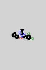 CCc1nc(N[C@@H]2c3ccccc3C[C@@H]2O)c(C2CC2)nc1-c1ccc(Cl)cc1Cl